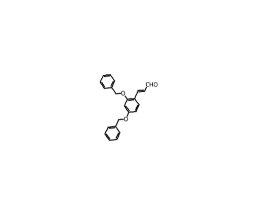 O=CC=Cc1ccc(OCc2ccccc2)cc1OCc1ccccc1